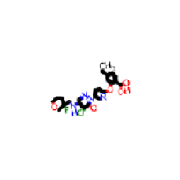 CCc1ccc(C(=O)O)c(Oc2ccc(-n3ncc(NC[C@@]4(F)CCCOC4)c(Cl)c3=O)cn2)c1